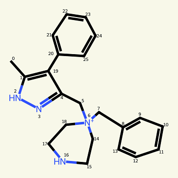 Cc1[nH]nc(C[N+]2(Cc3ccccc3)CCNCC2)c1-c1ccccc1